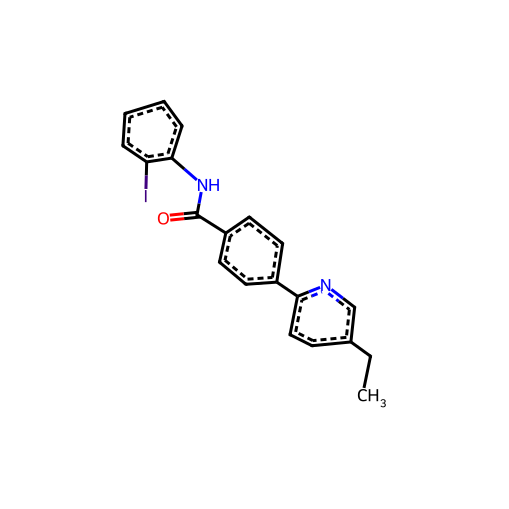 CCc1ccc(-c2ccc(C(=O)Nc3ccccc3I)cc2)nc1